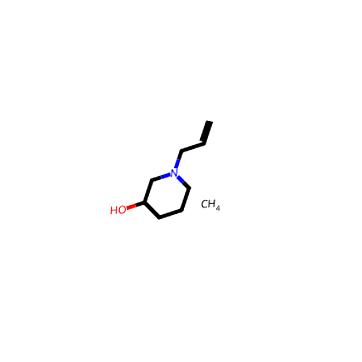 C.C=CCN1CCCC(O)C1